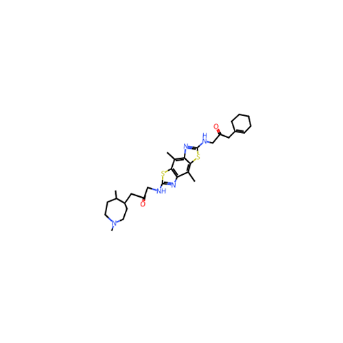 Cc1c2nc(NCC(=O)CC3CCN(C)CCC3C)sc2c(C)c2nc(NCC(=O)CC3=CCCCC3)sc12